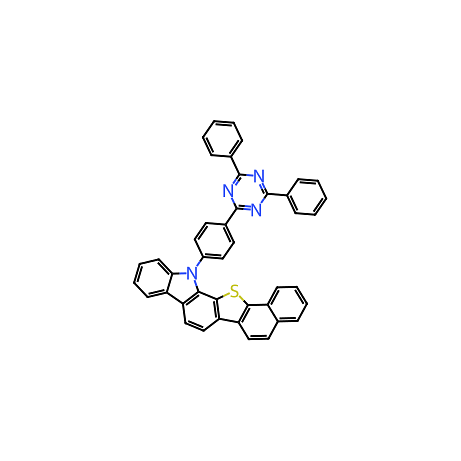 c1ccc(-c2nc(-c3ccccc3)nc(-c3ccc(-n4c5ccccc5c5ccc6c7ccc8ccccc8c7sc6c54)cc3)n2)cc1